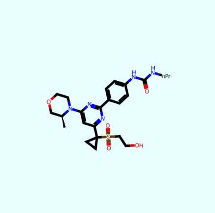 CCCNC(=O)Nc1ccc(-c2nc(N3CCOC[C@@H]3C)cc(C3(S(=O)(=O)CCO)CC3)n2)cc1